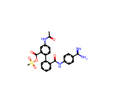 CC(=O)Nc1ccc(-c2ccccc2C(=O)Nc2ccc(C(=N)N)cc2)c(C(=O)OS(C)(=O)=O)c1